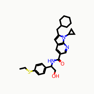 CCSc1ccc(C(CO)NC(=O)c2cnc3c(c2)cc(CC2CCCCC2)n3C2CC2)cc1